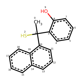 CC(S)(c1ccccc1O)c1cccc2ccccc12